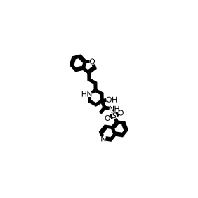 CC(NS(=O)(=O)c1cccc2cnccc12)C1(O)CCNC(CCc2coc3ccccc23)C1